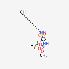 CCCCCCCCCCCCCCNS(=O)(=O)c1ccc(N/C(=C/C(=O)OCC)OCC)c(Cl)c1